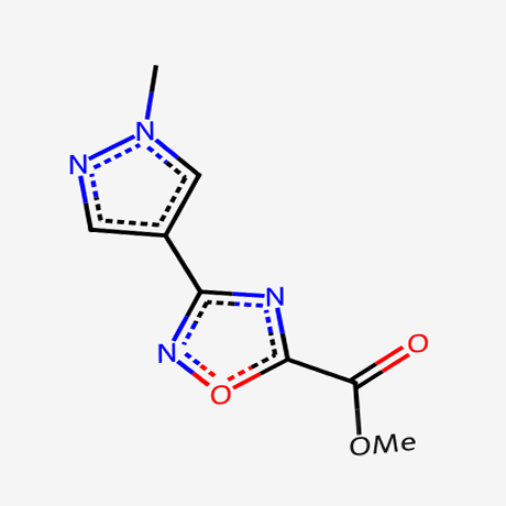 COC(=O)c1nc(-c2cnn(C)c2)no1